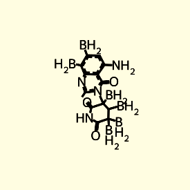 Bc1cc(N)c2c(=O)n(C3(B)C(=O)NC(=O)C(B)(B)C3B)c(C)nc2c1B